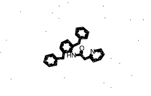 O=C(Cc1ccccn1)Nc1c(Cc2ccccc2)cccc1Cc1ccccc1